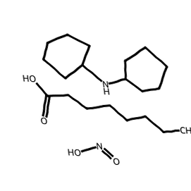 C1CCC(NC2CCCCC2)CC1.CCCCCCCC(=O)O.O=NO